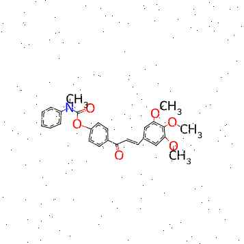 COc1cc(C=CC(=O)c2ccc(OC(=O)N(C)c3ccccc3)cc2)cc(OC)c1OC